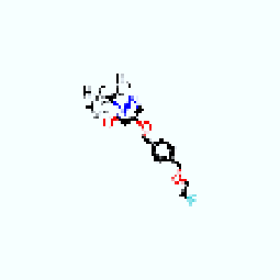 CC(C)(C)n1ncc(OCc2ccc(COCCF)cc2)cc1=O